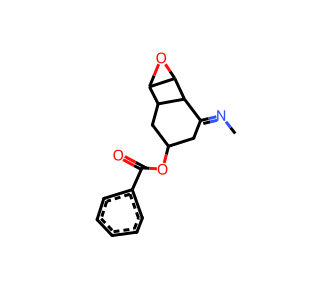 C/N=C1\CC(OC(=O)c2ccccc2)CC2C3OC3C12